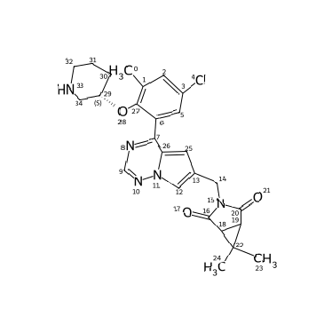 Cc1cc(Cl)cc(-c2ncnn3cc(CN4C(=O)C5C(C4=O)C5(C)C)cc23)c1O[C@H]1CCCNC1